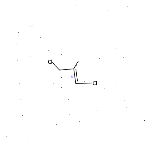 C/C(=C\Cl)CCl